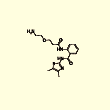 Cc1nc(NC(=O)c2ccccc2NC(=O)CCOCCN)sc1C